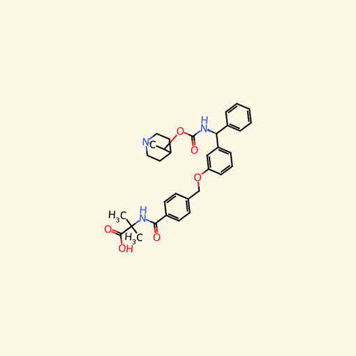 CC(C)(NC(=O)c1ccc(COc2cccc([C@@H](NC(=O)OC3CN4CCC3CC4)c3ccccc3)c2)cc1)C(=O)O